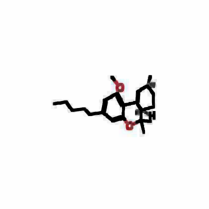 CCCCCc1cc(OC)c2c(c1)OC(C)(C)[C@@H]1CC[C@H](C)C=C21